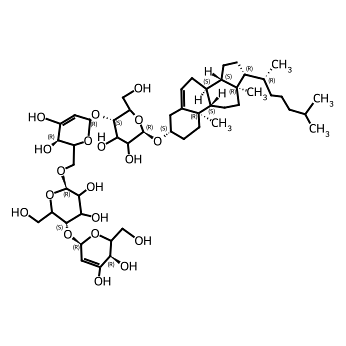 CC(C)CCC[C@@H](C)[C@H]1CC[C@H]2[C@@H]3CC=C4C[C@@H](O[C@@H]5OC(CO)[C@@H](O[C@@H]6C=C(O)[C@H](O)C(CO[C@@H]7OC(CO)[C@@H](O[C@@H]8C=C(O)[C@H](O)C(CO)O8)C(O)C7O)O6)C(O)C5O)CC[C@]4(C)[C@H]3CC[C@]12C